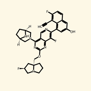 C#Cc1c(F)ccc2cc(O)cc(-c3ncc4c(N5C[C@H]6CC[C@@H](C5)N6)nc(OC[C@]56CCCN5C[C@@H](F)C6)nc4c3F)c12